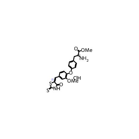 COC(=O)[C@@H](N)Cc1ccc(Oc2ccc(/C=C3/SC(=S)NC3=O)cc2OC)cc1.Cl